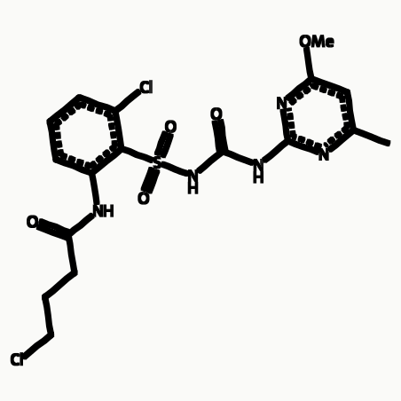 COc1cc(C)nc(NC(=O)NS(=O)(=O)c2c(Cl)cccc2NC(=O)CCCCl)n1